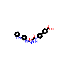 O=C(Nc1ccc(C2CCC(C(=O)O)CC2)cc1)c1nnc(Nc2cccc(Nc3ccccc3)c2)o1